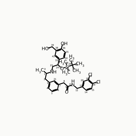 CC(Cc1cccc(CC(=O)NCc2ccc(Cl)c(Cl)c2)c1)NCC(O[Si](C)(C)C(C)(C)C)c1ccc(O)c(CO)c1